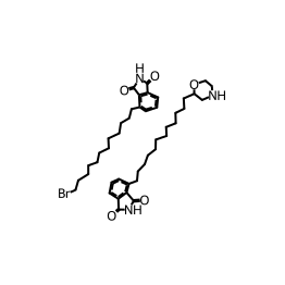 O=C1NC(=O)c2c(CCCCCCCCCCCCBr)cccc21.O=C1NC(=O)c2c(CCCCCCCCCCCCC3CNCCO3)cccc21